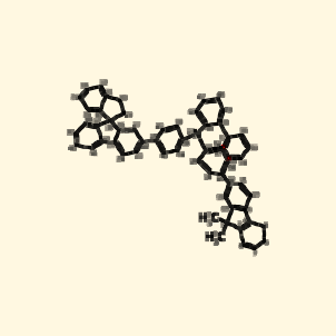 CC1(C)C2=C(CCC=C2)c2ccc(-c3ccc(N(c4ccc(-c5ccc6c(c5)C5(CCc7ccccc75)c5ccccc5-6)cc4)c4ccccc4-c4ccccc4)cc3)cc21